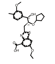 CCOc1cc(C(=O)O)c2nc(C[C@H](OC3CCCC3)[C@H](O)c3ccc(C)c(OC)c3)sc2c1